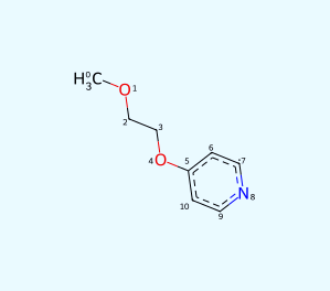 COCCOc1c[c]ncc1